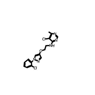 Cc1ncnc(NCCOc2cnn(-c3ccccc3Cl)c2)c1Cl